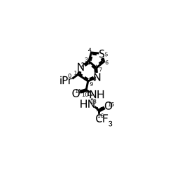 CC(C)c1nc2cscc2nc1C(=O)NNC(=O)C(F)(F)F